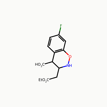 CCOC(=O)CC1NOc2cc(F)ccc2C1C(=O)O